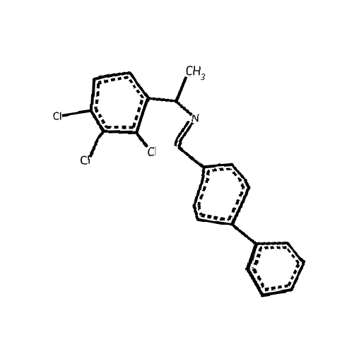 CC(N=Cc1ccc(-c2ccccc2)cc1)c1ccc(Cl)c(Cl)c1Cl